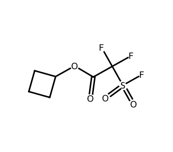 O=C(OC1CCC1)C(F)(F)S(=O)(=O)F